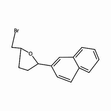 BrCC1CCC(c2ccc3ccccc3c2)O1